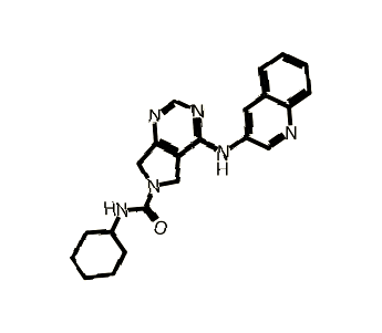 O=C(NC1CCCCC1)N1Cc2ncnc(Nc3cnc4ccccc4c3)c2C1